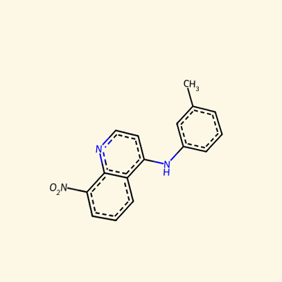 Cc1cccc(Nc2ccnc3c([N+](=O)[O-])cccc23)c1